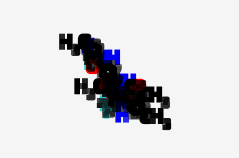 COc1cc(C(=O)N[C@H]2CCN(C)C[C@H]2F)ccc1Nc1ncc(C(F)(F)F)c(NCc2ccc(C)cc2N(C)S(C)(=O)=O)n1